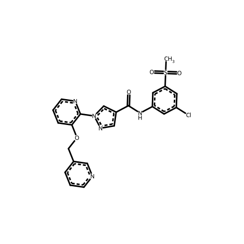 CS(=O)(=O)c1cc(Cl)cc(NC(=O)c2cnn(-c3ncccc3OCc3cccnc3)c2)c1